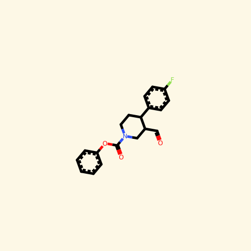 O=CC1CN(C(=O)Oc2ccccc2)CCC1c1ccc(F)cc1